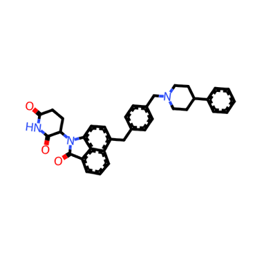 O=C1CCC(N2C(=O)c3cccc4c(Cc5ccc(CN6CCC(c7ccccc7)CC6)cc5)ccc2c34)C(=O)N1